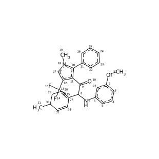 COc1cccc(NC(C(=O)c2c(C(F)(F)F)cn(C)c2-c2ccccc2)C2=CCC(C)C=C2)c1